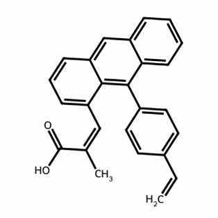 C=Cc1ccc(-c2c3ccccc3cc3cccc(C=C(C)C(=O)O)c23)cc1